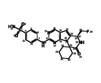 NS(=O)(=O)c1ccc(Nc2ncc3cc4n(c3n2)C2(CCCCC2)C(=O)N[C@@H]4CF)cc1